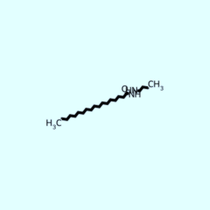 CCCCCCCCCCCCCCCCCC(=O)NNCCCC